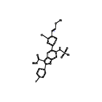 CCO/C=C/c1ccc(-c2cc3c(C(=O)NC)c(-c4ccc(F)cc4)oc3cc2NS(=O)(=O)CC)nc1Cl